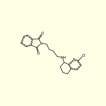 O=C1c2ccccc2C(=O)N1CCCCNC1CCCc2ccc(Cl)nc21